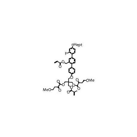 C=CC(=O)OCc1cc(-c2ccc(CCCCCCC)cc2F)ccc1-c1ccc(OCC(COC(=O)C(=C)C)(COC(=O)C(=O)CCOC)COC(=O)C(=O)CCOC)cc1